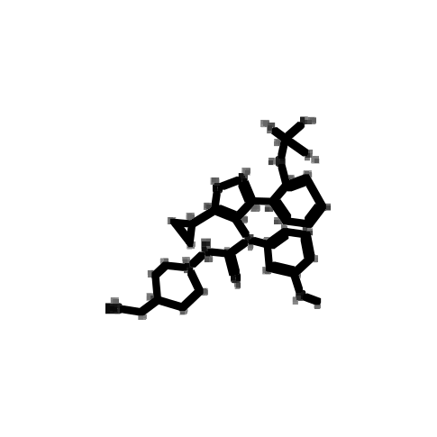 COc1cccc(N(C(=O)NN2CCC(CO)CC2)c2c(-c3ccccc3OC(F)(F)F)noc2C2CC2)c1